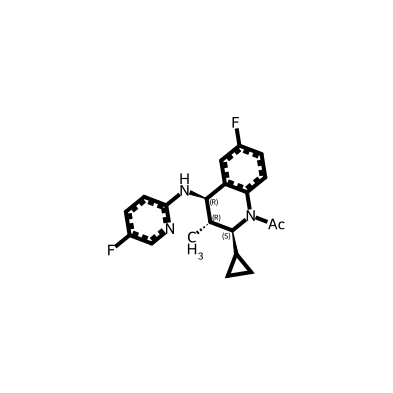 CC(=O)N1c2ccc(F)cc2[C@H](Nc2ccc(F)cn2)[C@@H](C)[C@@H]1C1CC1